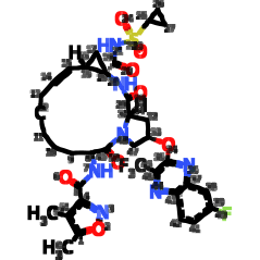 Cc1onc(C(=O)N[C@H]2CCCCC/C=C\[C@@H]3C[C@@]3(C(=O)NS(=O)(=O)C3CC3)NC(=O)[C@@H]3C[C@@H](Oc4nc5cc(F)ccc5nc4C(F)(F)F)CN3C2=O)c1C